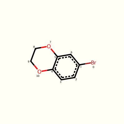 Brc1ccc2c(c1)O[C]CO2